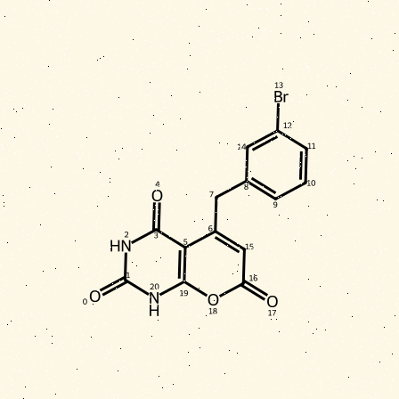 O=c1[nH]c(=O)c2c(Cc3cccc(Br)c3)cc(=O)oc2[nH]1